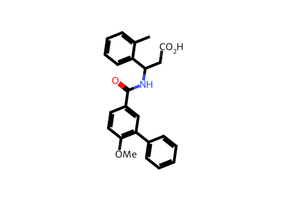 COc1ccc(C(=O)NC(CC(=O)O)c2ccccc2C)cc1-c1ccccc1